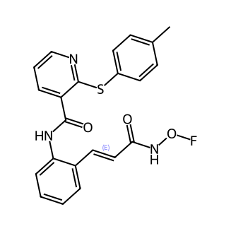 Cc1ccc(Sc2ncccc2C(=O)Nc2ccccc2/C=C/C(=O)NOF)cc1